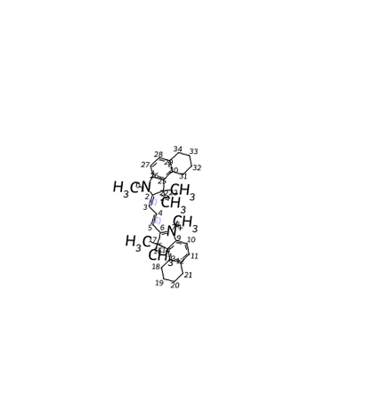 CN1/C(=C/C=C/C2=[N+](C)c3ccc4c(c3C2(C)C)CCCC4)C(C)(C)c2c1ccc1c2CCCC1